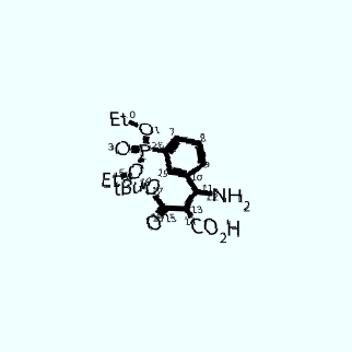 CCOP(=O)(OCC)c1cccc(C(N)C(C(=O)O)C(=O)OC(C)(C)C)c1